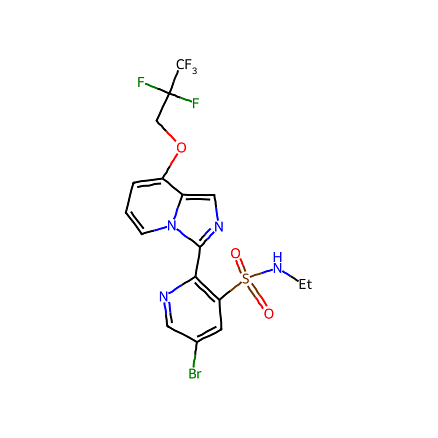 CCNS(=O)(=O)c1cc(Br)cnc1-c1ncc2c(OCC(F)(F)C(F)(F)F)cccn12